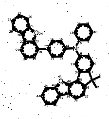 CC1(C)c2ccc(N(c3ccccc3)c3ccc(-c4cccc5c4oc4ccccc45)cc3)cc2-c2c1ccc1c2oc2ccccc21